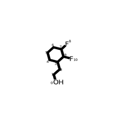 OCCC1CCCC(F)C1F